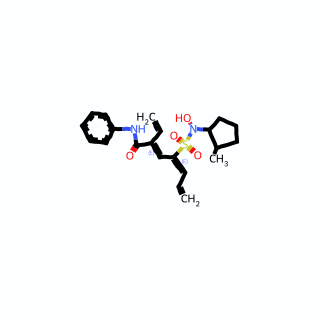 C=C/C=C(\C=C(/C=C)C(=O)Nc1ccccc1)S(=O)(=O)N(O)C1CCCC1C